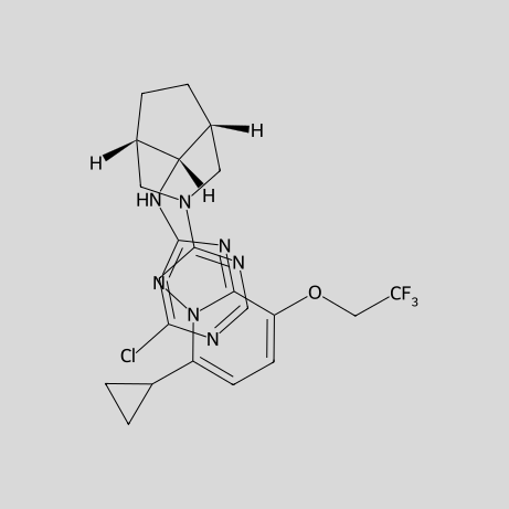 FC(F)(F)COc1ccc(C2CC2)n2nc(N[C@H]3[C@@H]4CC[C@H]3CN(c3cc(Cl)ncn3)C4)nc12